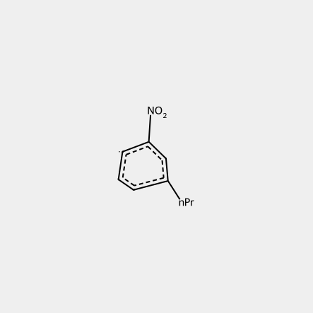 CCCc1cc[c]c([N+](=O)[O-])c1